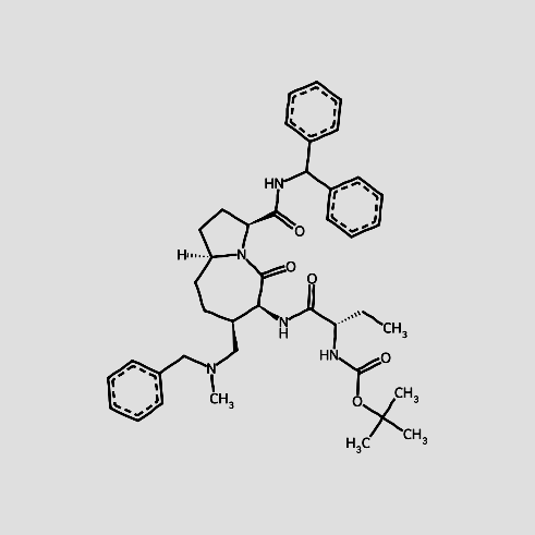 CC[C@H](NC(=O)OC(C)(C)C)C(=O)N[C@@H]1C(=O)N2[C@@H](CC[C@@H]1CN(C)Cc1ccccc1)CC[C@H]2C(=O)NC(c1ccccc1)c1ccccc1